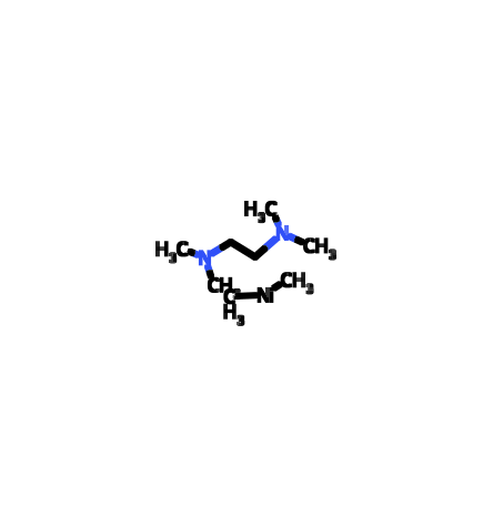 CN(C)CCN(C)C.[CH3][Ni][CH3]